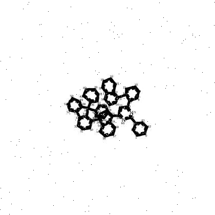 c1ccc(-c2nc(-c3ccccc3-c3cccc4ccccc34)cc(-c3ccc(-c4cccc5c4C(c4ccccc4)(c4ccccc4)c4ccccc4-5)c4ccccc34)n2)cc1